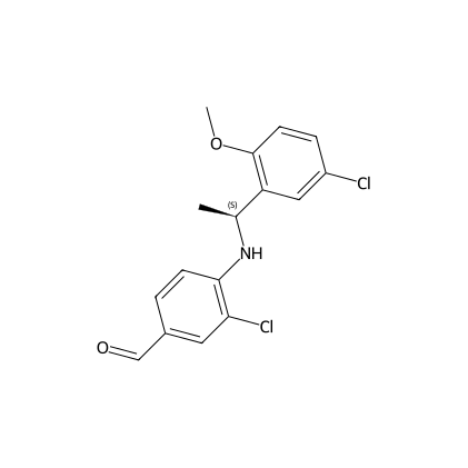 COc1ccc(Cl)cc1[C@H](C)Nc1ccc(C=O)cc1Cl